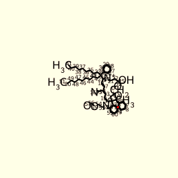 C=C(CC1(Cc2ccccc2)\C(=C/C=C(C#N)/C=C/C2=[N+](CCC(=O)O)c3ccccc3C2(CCCCCCCCC)CCCCCCCCCC)N(CCOC=O)c2ccccc21)OC